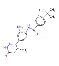 CC1CC(=O)NN=C1c1ccc(NC(=O)c2ccc(C(C)(C)C)cc2)c(N)c1